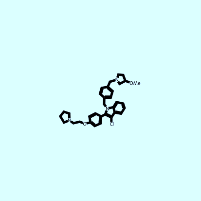 COC1CCN(Cc2ccc(Cn3c(-c4ccc(OCCN5CCCC5)cc4)c(Cl)c4ccccc43)cc2)C1